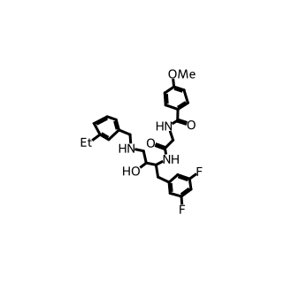 CCc1cccc(CNCC(O)C(Cc2cc(F)cc(F)c2)NC(=O)CNC(=O)c2ccc(OC)cc2)c1